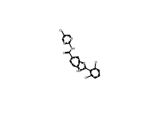 O=C(Nc1ncc(Cl)cn1)c1ccc2[nH]c(-c3c(Cl)cccc3Cl)nc2c1